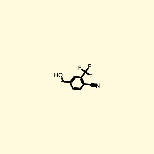 N#Cc1ccc([CH]O)cc1C(F)(F)F